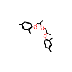 Cc1ccc(OCC(C)OCC(C)Oc2ccc(C)cc2C)c(C)c1